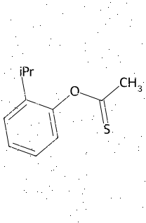 CC(=S)Oc1ccccc1C(C)C